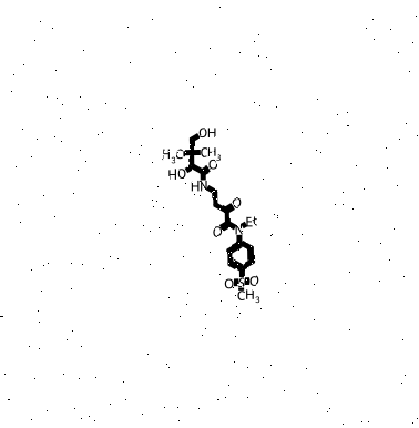 CCN(C(=O)C(=O)CCNC(=O)C(O)C(C)(C)CO)c1ccc(S(C)(=O)=O)cc1